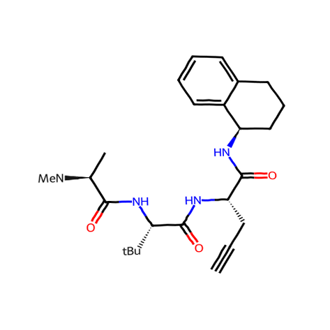 C#CC[C@H](NC(=O)[C@@H](NC(=O)[C@H](C)NC)C(C)(C)C)C(=O)N[C@@H]1CCCc2ccccc21